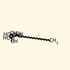 CCCCCCCCCCCCCCCCCCCCCCOCC(O)CO[C@H]1O[C@H](CO)[C@H](O)[C@H](O)[C@H]1O